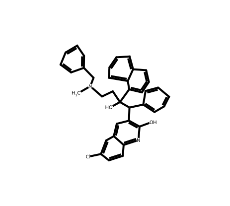 CN(CCC(O)(C1=C=C=Cc2ccccc21)C(c1ccccc1)c1cc2cc(Cl)ccc2nc1O)Cc1ccccc1